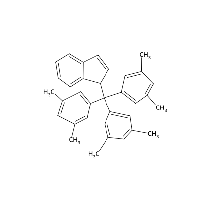 Cc1cc(C)cc(C(c2cc(C)cc(C)c2)(c2cc(C)cc(C)c2)C2C=Cc3ccccc32)c1